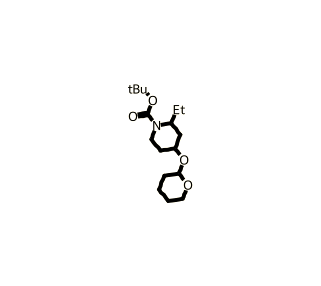 CCC1CC(OC2CCCCO2)CCN1C(=O)OC(C)(C)C